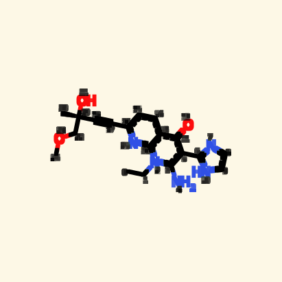 CCn1c(N)c(-c2ncc[nH]2)c(=O)c2ccc(C#C[C@@](C)(O)COC)nc21